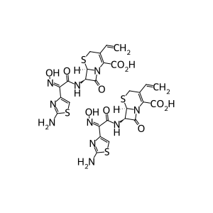 C=CC1=C(C(=O)O)N2C(=O)[C@@H](NC(=O)/C(=N\O)c3csc(N)n3)[C@H]2SC1.C=CC1=C(C(=O)O)N2C(=O)[C@@H](NC(=O)/C(=N\O)c3csc(N)n3)[C@H]2SC1